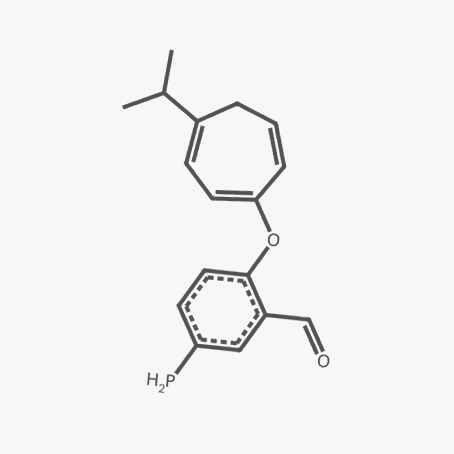 CC(C)C1=CC=C(Oc2ccc(P)cc2C=O)C=CC1